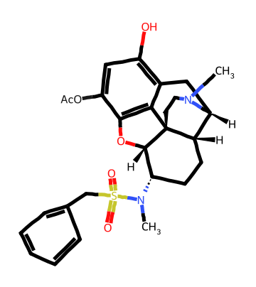 CC(=O)Oc1cc(O)c2c3c1O[C@H]1[C@@H](N(C)S(=O)(=O)Cc4ccccc4)CC[C@H]4[C@@H](C2)N(C)CC[C@@]341